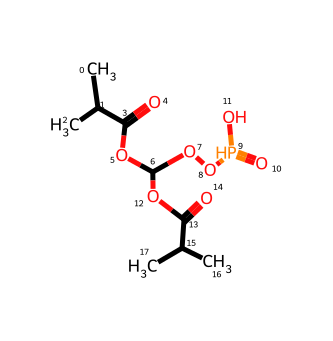 CC(C)C(=O)OC(OO[PH](=O)O)OC(=O)C(C)C